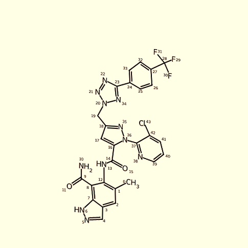 Cc1cc2cn[nH]c2c(C(N)=O)c1NC(=O)c1cc(Cn2nnc(-c3ccc(C(F)(F)F)cc3)n2)nn1-c1ncccc1Cl